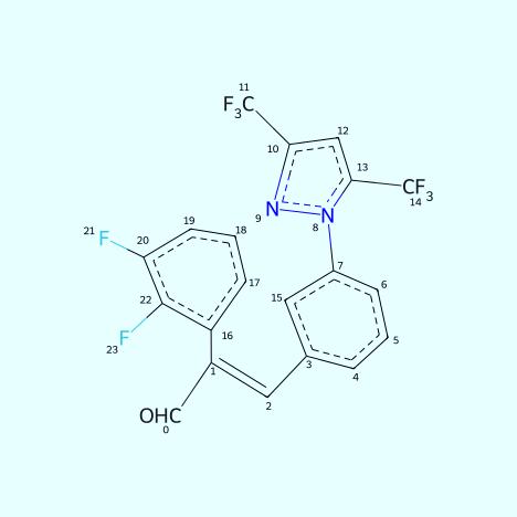 O=CC(=Cc1cccc(-n2nc(C(F)(F)F)cc2C(F)(F)F)c1)c1cccc(F)c1F